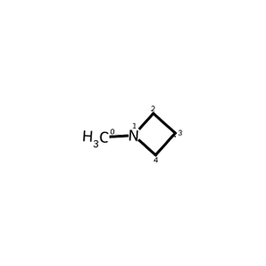 CN1C[CH]C1